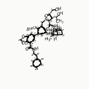 COc1c(CN2O[C@@H](CO)[C@H]([C@H](C)O)[C@H]2C(=O)N[C@H]2CC3C[C@@H]([C@@H]2C)C3(C)C)cccc1-c1cc2c(c(C(=O)NCCc3ccccc3)c1)OCO2